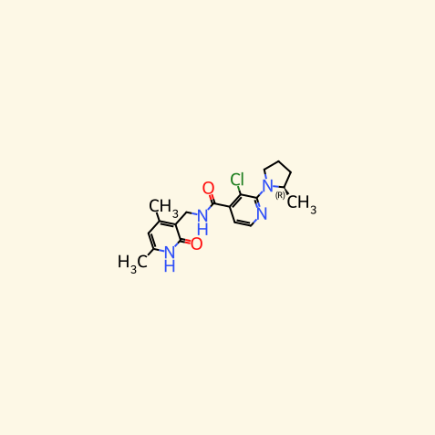 Cc1cc(C)c(CNC(=O)c2ccnc(N3CCC[C@H]3C)c2Cl)c(=O)[nH]1